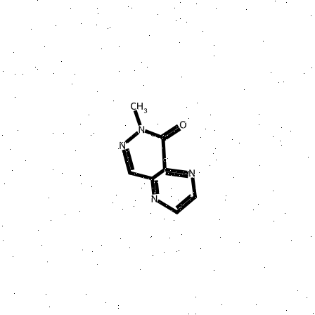 Cn1ncc2nccnc2c1=O